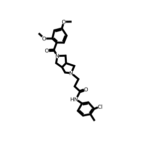 COc1ccc(C(=O)N2CC3CN(CCC(=O)Nc4ccc(C)c(Cl)c4)CC3C2)c(OC)c1